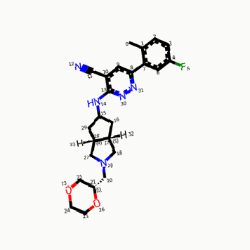 Cc1ccc(F)cc1-c1cc(C#N)c(NC2C[C@@H]3CN(C[C@H]4COCCO4)C[C@@H]3C2)nn1